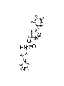 O=C(NCCn1ccnc1)Oc1cc(-c2ccco2)on1